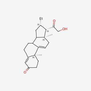 CC[C@H]1CC2C3CCC4=CC(=O)CC[C@]4(C)C3=CC[C@]2(C)[C@H]1C(=O)CO